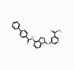 NC(=O)c1cncc(OC2CCc3c(NC(=O)c4ccc(-c5ccccc5)cc4)cccc32)c1